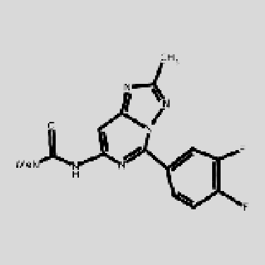 CNC(=O)Nc1cc2nc(C)nn2c(-c2ccc(F)c(F)c2)n1